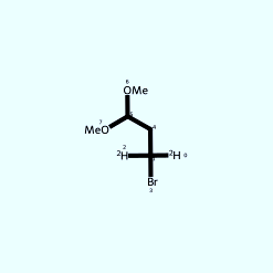 [2H]C([2H])(Br)CC(OC)OC